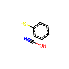 N#CO.Sc1ccccc1